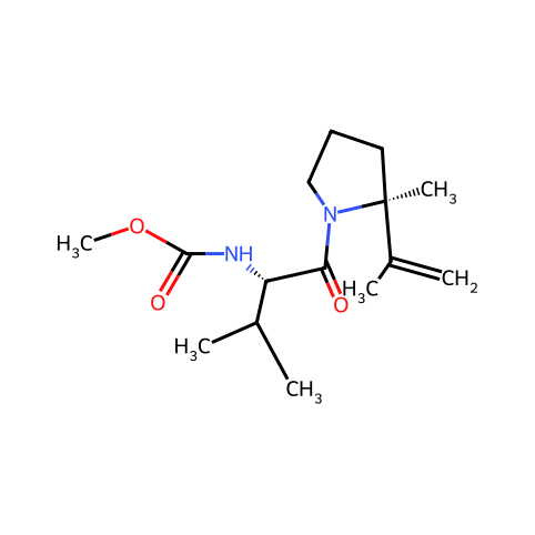 C=C(C)[C@]1(C)CCCN1C(=O)[C@@H](NC(=O)OC)C(C)C